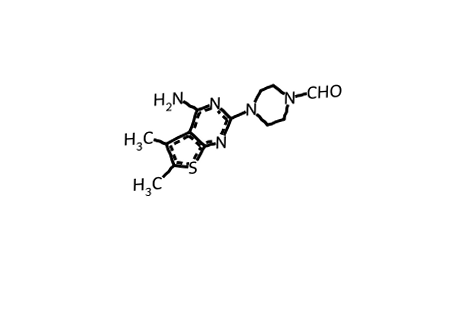 Cc1sc2nc(N3CCN(C=O)CC3)nc(N)c2c1C